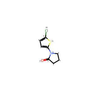 O=C1CCCN1c1ccc(Cl)s1